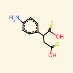 Nc1ccc(C(CC(O)=S)C(O)=S)cc1